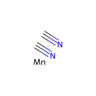 C#N.C#N.[Mn]